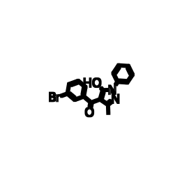 Cc1nn(-c2ccccc2)c(O)c1C(=O)c1cccc(Br)c1